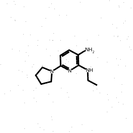 CCNc1nc(N2CCCC2)ccc1N